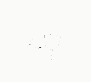 COC1O[C@H](CO)[C@H](O)[C@H](O)[C@H]1NC(=O)C(F)(F)F